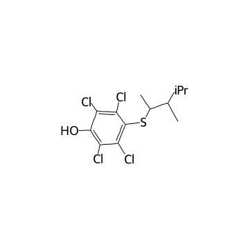 CC(C)C(C)C(C)Sc1c(Cl)c(Cl)c(O)c(Cl)c1Cl